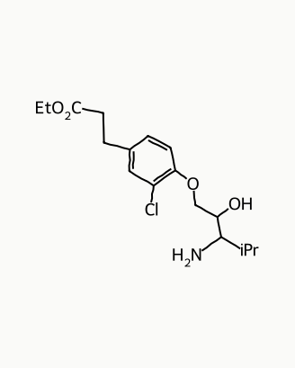 CCOC(=O)CCc1ccc(OCC(O)C(N)C(C)C)c(Cl)c1